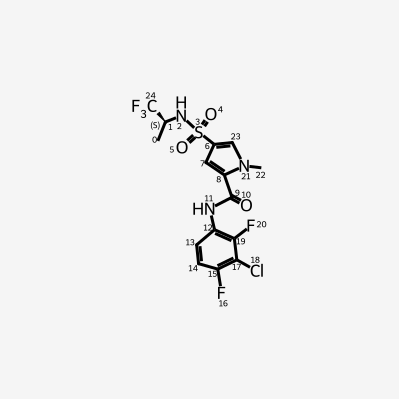 C[C@H](NS(=O)(=O)c1cc(C(=O)Nc2ccc(F)c(Cl)c2F)n(C)c1)C(F)(F)F